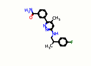 Cc1cc(NCC(C)c2ccc(F)cc2)nnc1-c1cccc(C(N)=O)c1